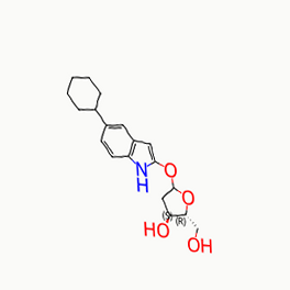 OC[C@H]1OC(Oc2cc3cc(C4CCCCC4)ccc3[nH]2)C[C@@H]1O